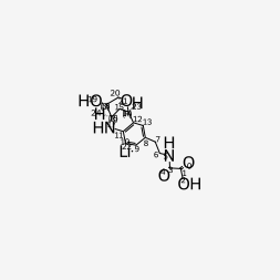 O=C(O)C(=O)NCCc1ccc2c(c1)[C@H]1C[C@@H](N2)[C@H](O)CO1.[Li]